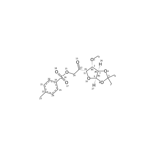 CO[C@@H]1[C@H]2OC(C)(C)O[C@H]2O[C@@H]1C(=O)COS(=O)(=O)c1ccc(C)cc1